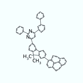 CC1(C)c2ccc(-c3cc(-c4cccc(-c5ccccc5)c4)nc(-c4ccccc4)n3)cc2-c2ccc(-c3ccc4ccc5cccc6ccc3c4c56)cc21